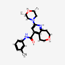 C[C@@H]1CN(c2cc(C(=O)Nc3cccc(C#N)c3)c3c(n2)CCOCC3)C[C@H](C)O1